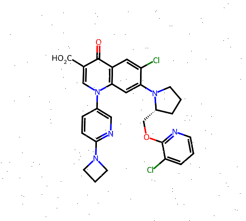 O=C(O)c1cn(-c2ccc(N3CCC3)nc2)c2cc(N3CCC[C@@H]3COc3ncccc3Cl)c(Cl)cc2c1=O